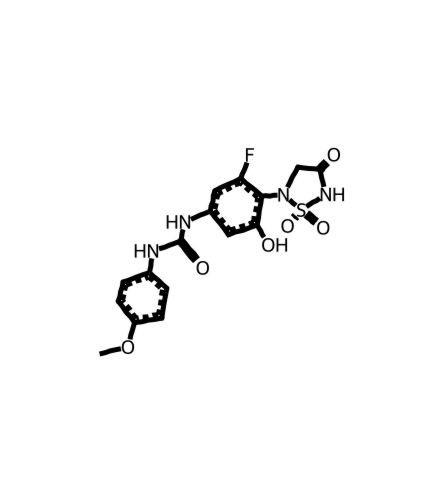 COc1ccc(NC(=O)Nc2cc(O)c(N3CC(=O)NS3(=O)=O)c(F)c2)cc1